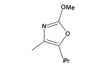 COc1nc(C)c(C(C)C)o1